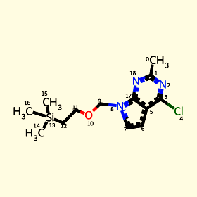 Cc1nc(Cl)c2ccn(COCC[Si](C)(C)C)c2n1